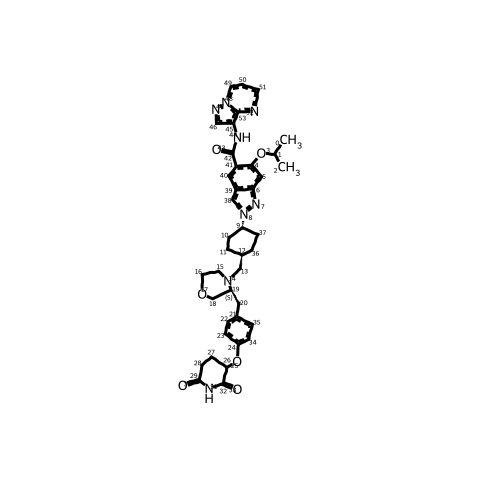 CC(C)Oc1cc2nn([C@H]3CC[C@H](CN4CCOC[C@@H]4Cc4ccc(OC5CCC(=O)NC5=O)cc4)CC3)cc2cc1C(=O)Nc1cnn2cccnc12